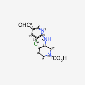 O=Cc1cnc(N[C@@H]2CCCN(C(=O)O)C2)c(Cl)c1